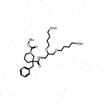 CCCCCCCCCCCCCCOCC(CNC(=O)C1(Cc2ccccc2)CCCN(C(=O)OC(C)(C)C)C1)OCCCCCCCCCCCCCC